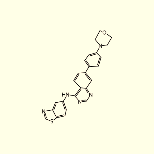 c1nc(Nc2ccc3scnc3c2)c2ccc(-c3ccc(N4CCOCC4)cc3)cc2n1